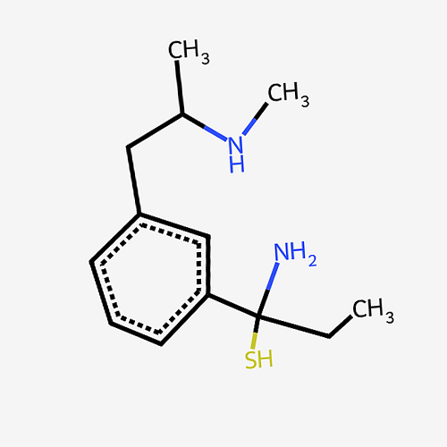 CCC(N)(S)c1cccc(CC(C)NC)c1